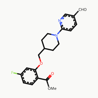 COC(=O)c1ccc(F)cc1OCC1CCN(c2ccc(C=O)cn2)CC1